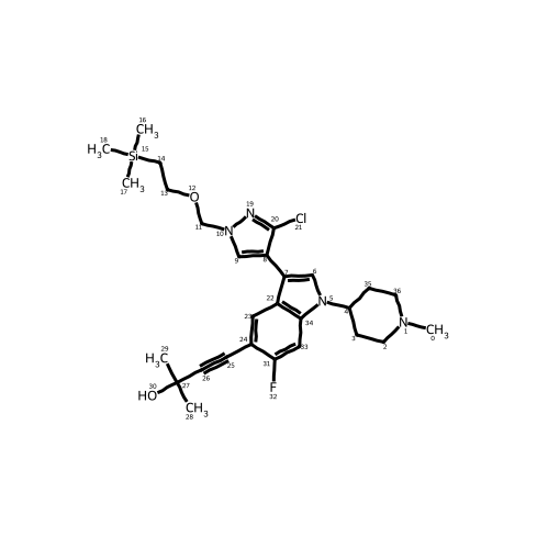 CN1CCC(n2cc(-c3cn(COCC[Si](C)(C)C)nc3Cl)c3cc(C#CC(C)(C)O)c(F)cc32)CC1